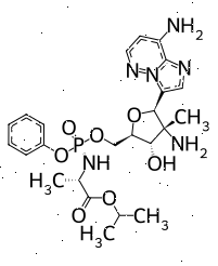 CC(C)OC(=O)[C@H](C)N[P@](=O)(OC[C@H]1O[C@@H](c2cnc3c(N)ccnn23)[C@](C)(N)[C@@H]1O)Oc1ccccc1